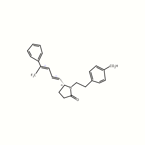 O=C(O)c1ccc(CCN2C(=O)CC[C@@H]2/C=C/C=C(/c2ccccc2)C(F)(F)F)cc1